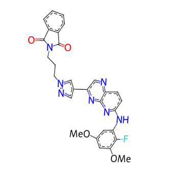 COc1cc(Nc2ccc3ncc(-c4cnn(CCCN5C(=O)c6ccccc6C5=O)c4)nc3n2)c(F)c(OC)c1